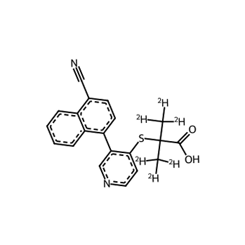 [2H]C([2H])([2H])C(Sc1ccncc1-c1ccc(C#N)c2ccccc12)(C(=O)O)C([2H])([2H])[2H]